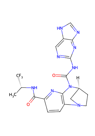 C[C@@H](NC(=O)c1ccc2c(n1)N(C(=O)Nc1ncc3[nH]cnc3n1)[C@H]1CCN2C1)C(F)(F)F